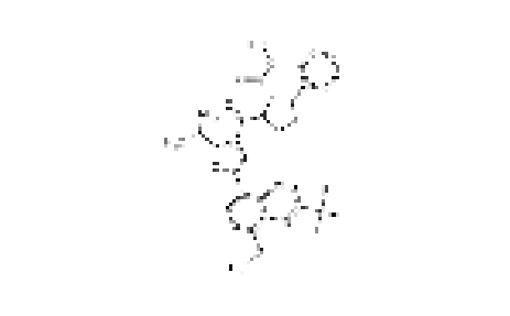 COC(=O)[C@@H]1[C@@H](c2ccccc2)CCN1C(=O)c1nc(-c2ccc(OC)c3nc(C(F)(F)F)ccc23)oc1[C@H](C)N